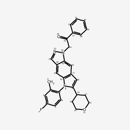 Cc1cc(F)ccc1-n1c(C2CCOCC2)cc2cc3c(cnn3CC(=O)c3ccccc3)cc21